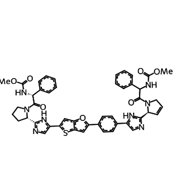 COC(=O)NC(C(=O)N1CC=C[C@H]1c1ncc(-c2ccc(-c3cc4sc(-c5cnc([C@@H]6CCCN6C(=O)[C@H](NC(=O)OC)c6ccccc6)[nH]5)cc4o3)cc2)[nH]1)c1ccccc1